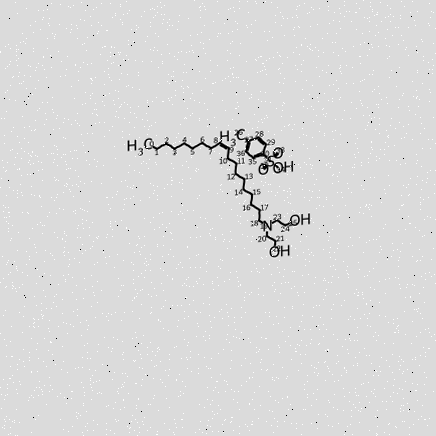 CCCCCCCC/C=C\CCCCCCCCCN(CCO)CCO.Cc1ccc(S(=O)(=O)O)cc1